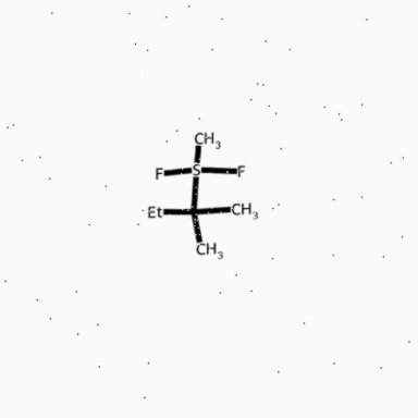 CCC(C)(C)S(C)(F)F